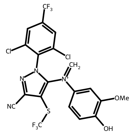 C=[N+](c1ccc(O)c(OC)c1)c1c(SC(F)(F)F)c(C#N)nn1-c1c(Cl)cc(C(F)(F)F)cc1Cl